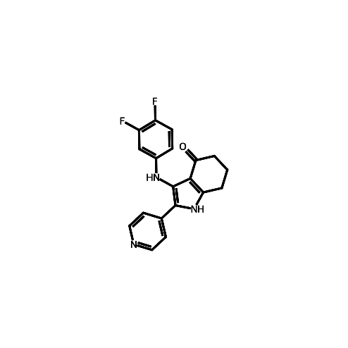 O=C1CCCc2[nH]c(-c3ccncc3)c(Nc3ccc(F)c(F)c3)c21